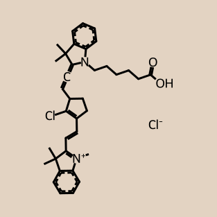 C[N+]1=C(/C=C/C2=C(Cl)C(C=C=C3N(CCCCCC(=O)O)c4ccccc4C3(C)C)CC2)C(C)(C)c2ccccc21.[Cl-]